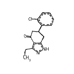 CCc1n[nH]c2c1C(=O)CC(c1ccccc1Cl)C2